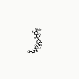 CNc1cc2c(cc1F)C(=O)N(c1cnc(NC(=O)NS(=O)(=O)c3ccc(Cl)s3)c(C)c1)CO2